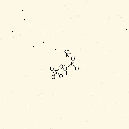 O=P(=O)O.O=S(=O)([O-])[O-].[K+].[K+]